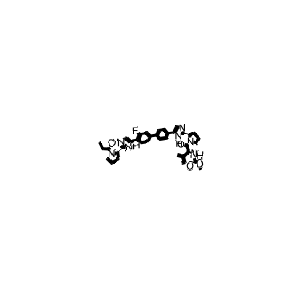 CCC(=O)N1CCC[C@H]1c1ncc(-c2ccc(-c3ccc(-c4cnc([C@@H]5CCCN5C(=O)[C@@H](NC(=O)OC)C(C)C)[nH]4)cc3)cc2F)[nH]1